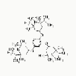 CC(C)C1(C)CC(Oc2ccc(OC3CC(C)(C)N(O)C(C)(C(C)C)C3)cc2OC2CC(C)(C)N(O)C(C)(C(C)C)C2)CC(C)(C)N1C